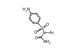 CC(=O)N(C(N)=O)S(=O)(=O)c1ccc(N)cc1